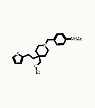 CCOCC1(CCc2cccs2)CCN(Cc2ccc(NC(C)=O)cc2)CC1